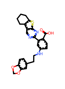 O=C(O)c1ccc(NCCc2ccc3c(c2)OCO3)cc1-c1ncc2c3c(sc2n1)CCCC3